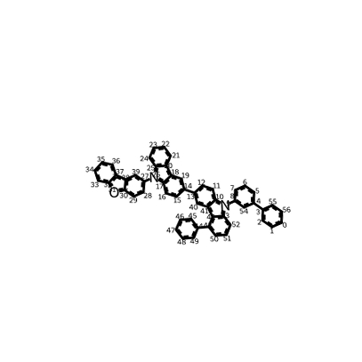 c1ccc(-c2cccc(-n3c4ccc(-c5ccc6c(c5)c5ccccc5n6-c5ccc6oc7ccccc7c6c5)cc4c4c(-c5ccccc5)cccc43)c2)cc1